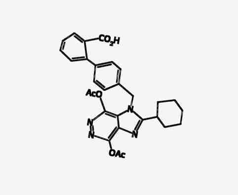 CC(=O)Oc1nnc(OC(C)=O)c2c1nc(C1CCCCC1)n2Cc1ccc(-c2ccccc2C(=O)O)cc1